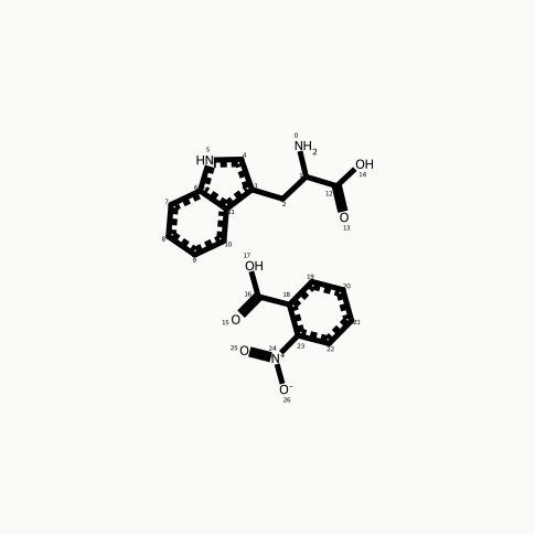 NC(Cc1c[nH]c2ccccc12)C(=O)O.O=C(O)c1ccccc1[N+](=O)[O-]